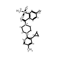 Cc1cnc(N2CCN(C(=O)c3ccc(Br)cc3S(C)(=O)=O)CC2)c(C2CC2)c1